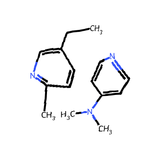 CCc1ccc(C)nc1.CN(C)c1ccncc1